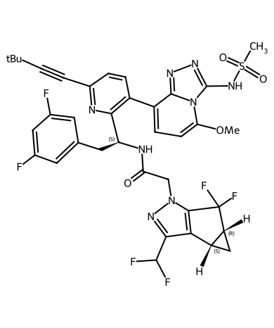 COc1ccc(-c2ccc(C#CC(C)(C)C)nc2[C@H](Cc2cc(F)cc(F)c2)NC(=O)Cn2nc(C(F)F)c3c2C(F)(F)[C@@H]2C[C@H]32)c2nnc(NS(C)(=O)=O)n12